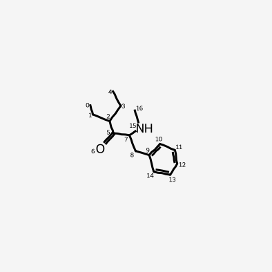 CCC(CC)C(=O)C(Cc1ccccc1)NC